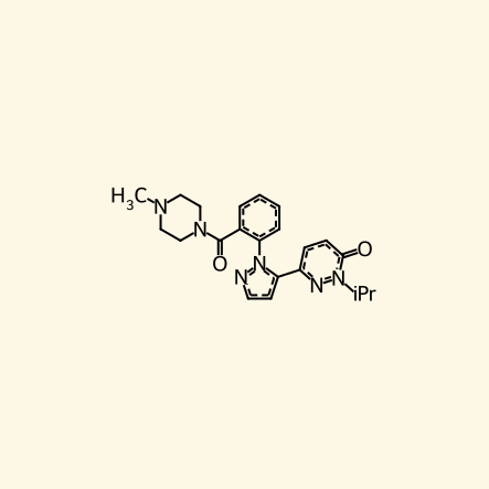 CC(C)n1nc(-c2ccnn2-c2ccccc2C(=O)N2CCN(C)CC2)ccc1=O